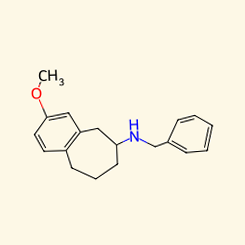 COc1ccc2c(c1)CC(NCc1ccccc1)CCC2